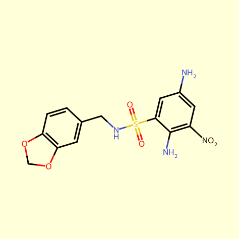 Nc1cc([N+](=O)[O-])c(N)c(S(=O)(=O)NCc2ccc3c(c2)OCO3)c1